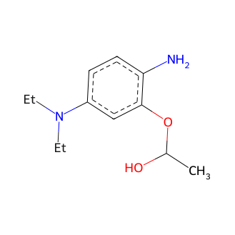 CCN(CC)c1ccc(N)c(OC(C)O)c1